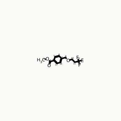 COC(=O)c1ccc(COCCC(F)(F)F)cc1